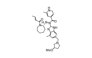 C/C=C/C(=O)N1CCCC[C@@H](N2c3c(C)cc(CN4CC[C@@H](OC)C4)cc3NC2N(N)C(=O)C2=CCNC(C)=C2)C1